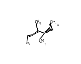 C/[C]=C(C)\C(C)=C/C